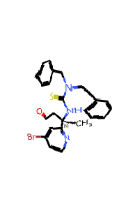 C[C@@](CC=O)(NC(=S)N(Cc1ccccc1)Cc1ccccc1)c1cc(Br)ccn1